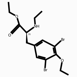 CCN[C@@H](Cc1cc(Br)c(OCC)c(Br)c1)C(=O)OCC